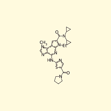 CCn1c(C(=O)N(C2CC2)C2CC2)cc2c3c(ncn3C)c(Nc3ncc(C(=O)N4CCCC4)s3)nc21